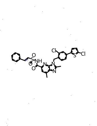 Cc1cc(C(=O)NS(=O)(=O)/C=C/c2ccccc2)nc2c1nc(C)n2Cc1ccc(-c2ccc(Cl)s2)cc1Cl